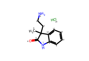 CC1(CCN)C(=O)Nc2ccccc21.Cl